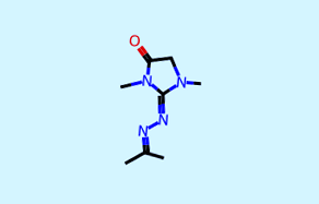 CC(C)=NN=C1N(C)CC(=O)N1C